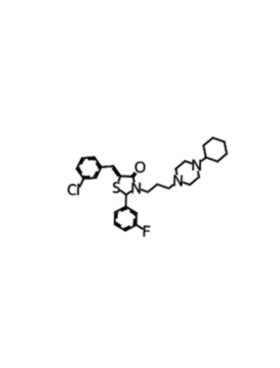 O=C1C(=Cc2cccc(Cl)c2)SC(c2cccc(F)c2)N1CCCN1CCN(C2CCCCC2)CC1